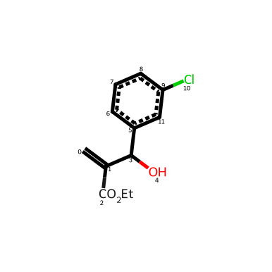 C=C(C(=O)OCC)C(O)c1cccc(Cl)c1